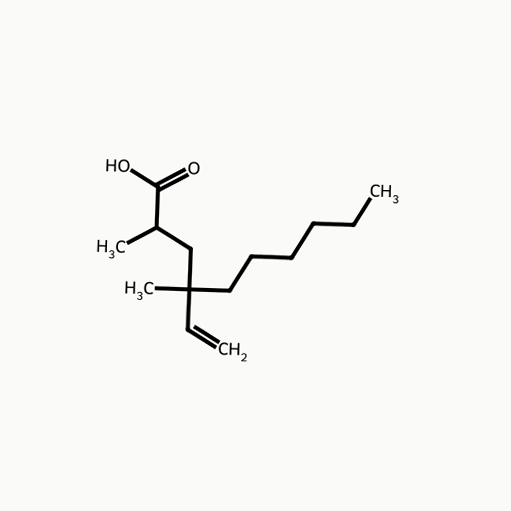 C=CC(C)(CCCCCC)CC(C)C(=O)O